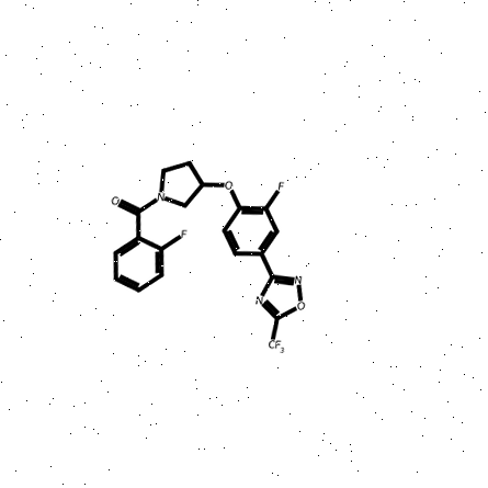 O=C(c1ccccc1F)N1CCC(Oc2ccc(-c3noc(C(F)(F)F)n3)cc2F)C1